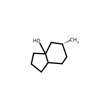 C[C@@H]1CCC2CCCC2(O)C1